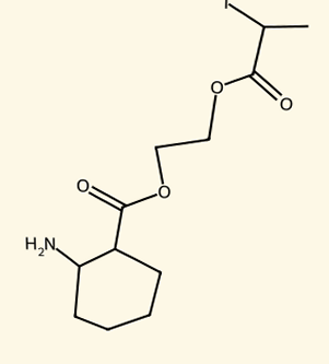 CC(I)C(=O)OCCOC(=O)C1CCCCC1N